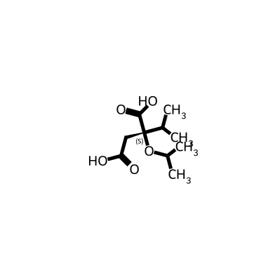 CC(C)O[C@](CC(=O)O)(C(=O)O)C(C)C